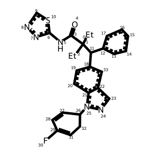 CCC(CC)(C(=O)Nc1nncs1)C(c1ccccc1)c1ccc2c(cnn2C2C=CC(F)=CC2)c1